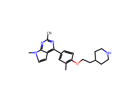 Cc1cc(-c2nc(C#N)nc3c2ccn3C)ccc1OCCC1CCNCC1